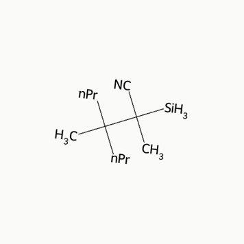 CCCC(C)(CCC)C(C)([SiH3])C#N